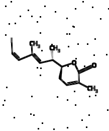 CC1=CC[C@@H]([C@@H](C)/C=C(C)/C=C\I)OC1=O